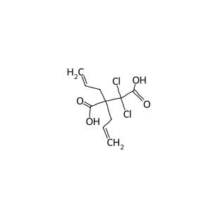 C=CCC(CC=C)(C(=O)O)C(Cl)(Cl)C(=O)O